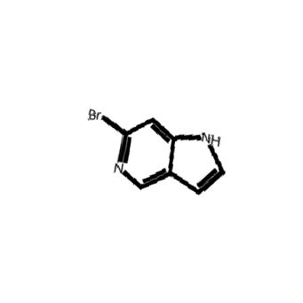 Brc1cc2[nH]ccc2cn1